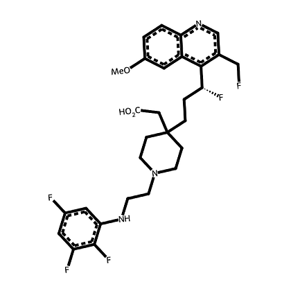 COc1ccc2ncc(CF)c([C@H](F)CCC3(CC(=O)O)CCN(CCNc4cc(F)cc(F)c4F)CC3)c2c1